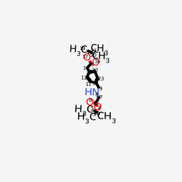 CC(C)(C)OC(=O)CNCc1ccc(CC(=O)OC(C)(C)C)cc1